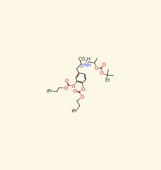 CCC(C)(C)OC(=O)OC(C)CN[C@@H](Cc1ccc(OC(=O)OCCC(C)C)c(OC(=O)OCCC(C)C)c1)C(=O)O